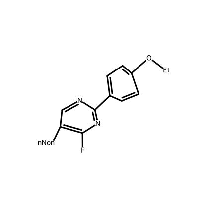 CCCCCCCCCc1cnc(-c2ccc(OCC)cc2)nc1F